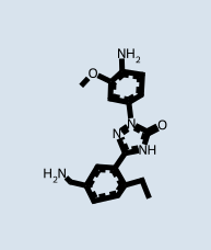 CCc1ccc(CN)cc1-c1nn(-c2ccc(N)c(OC)c2)c(=O)[nH]1